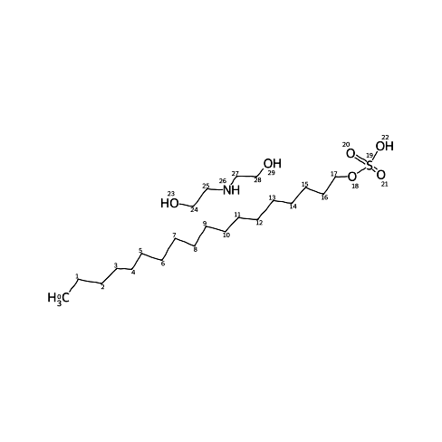 CCCCCCCCCCCCCCCCCCOS(=O)(=O)O.OCCNCCO